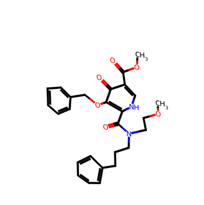 COCCN(CCCc1ccccc1)C(=O)c1[nH]cc(C(=O)OC)c(=O)c1OCc1ccccc1